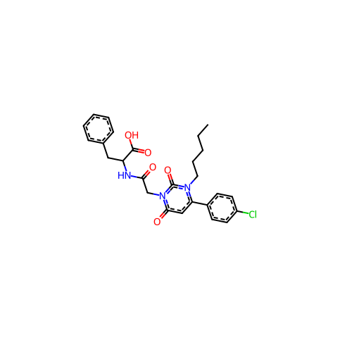 CCCCCn1c(-c2ccc(Cl)cc2)cc(=O)n(CC(=O)NC(Cc2ccccc2)C(=O)O)c1=O